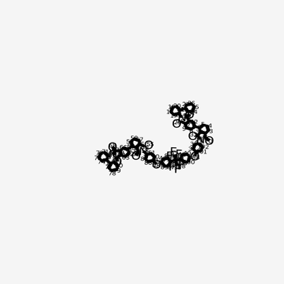 O=C1c2cccc(-c3ccc4c(c3)C(=O)N(c3ccccc3-c3ccccc3)C4=O)c2C(=O)N1c1ccc(Oc2ccc(C(c3ccc(Oc4ccc(N5C(=O)c6cccc(-c7ccc8c(c7)C(=O)N(c7ccccc7-c7ccccc7)C8=O)c6C5=O)cc4)cc3)(C(F)(F)F)C(F)(F)F)cc2)cc1